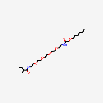 CCCCCCOCC(=O)NCCOCCOCCOCCOCCNC(=O)C(C)CC